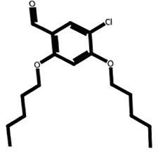 CCCCCOc1cc(OCCCCC)c(C=O)cc1Cl